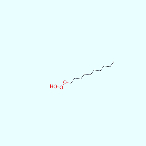 CCC[CH]CCCCCCOOO